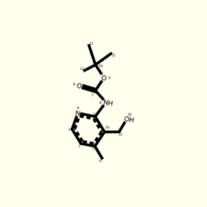 Cc1ccnc(NC(=O)OC(C)(C)C)c1CO